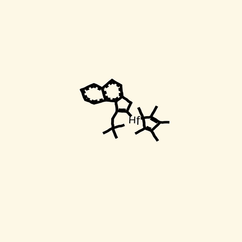 CC1=C(C)[C](C)([Hf][C]2=C(CC(C)(C)C)c3c(ccc4ccccc34)C2)C(C)=C1C